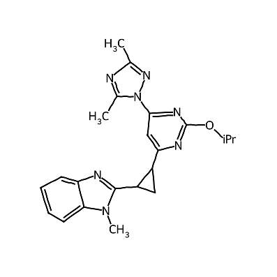 Cc1nc(C)n(-c2cc(C3CC3c3nc4ccccc4n3C)nc(OC(C)C)n2)n1